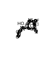 Cc1c(Cl)c2c(Cl)c(C)c1-c1c(-c3ccc(F)cc3)sc3ncnc(c13)O[C@@H](C(=O)O)Cc1cc(ccc1OCc1ccnc(N3CCN(S(=O)(=O)CC4COCCO4)CC3)n1)OC[C@@H](CN1CCN(C)CC1)O2